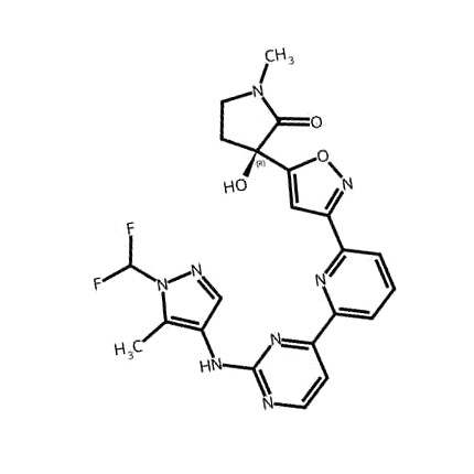 Cc1c(Nc2nccc(-c3cccc(-c4cc([C@]5(O)CCN(C)C5=O)on4)n3)n2)cnn1C(F)F